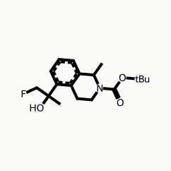 CC1c2cccc(C(C)(O)CF)c2CCN1C(=O)OC(C)(C)C